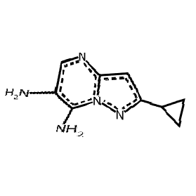 Nc1cnc2cc(C3CC3)nn2c1N